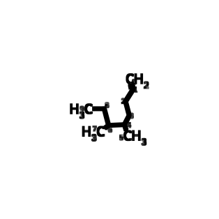 C=CCCC(C)C(C)CC